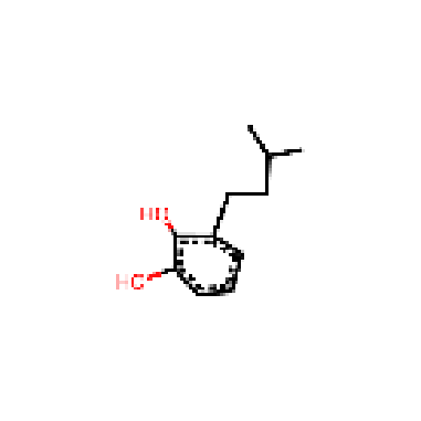 CC(C)CCc1cccc(O)c1O